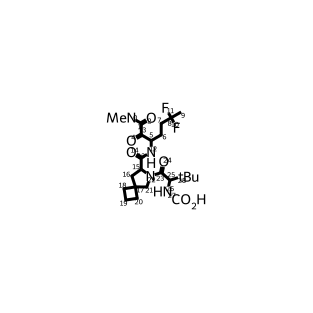 CNC(=O)C(=O)C(CCC(C)(F)F)NC(=O)C1CC2(CCC2)CN1C(=O)C(NC(=O)O)C(C)(C)C